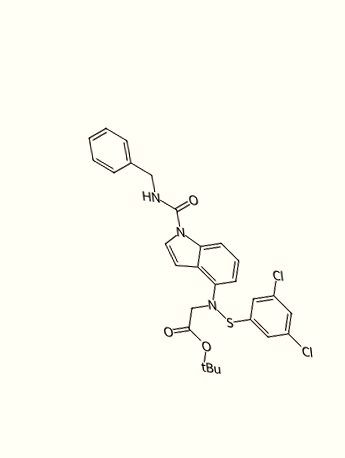 CC(C)(C)OC(=O)CN(Sc1cc(Cl)cc(Cl)c1)c1cccc2c1ccn2C(=O)NCc1ccccc1